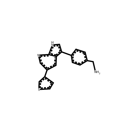 NCc1ccc(-c2c[nH]c3ncc(-c4ccsc4)cc23)cc1